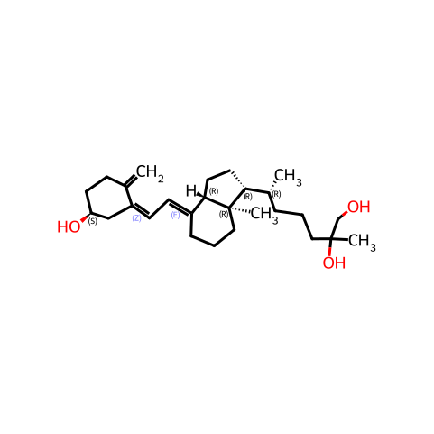 C=C1CC[C@H](O)C/C1=C/C=C1\CCC[C@]2(C)[C@@H]([C@H](C)CCCC(C)(O)CO)CC[C@@H]12